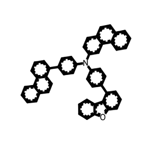 c1ccc2c(c1)ccc1ccc(N(c3ccc(-c4cccc5c4ccc4ccccc45)cc3)c3ccc(-c4cccc5oc6ccccc6c45)cc3)cc12